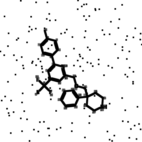 Cc1ccc(-c2cc(C(F)(F)F)cc(COCC3(c4ccccc4)CCNCC3)n2)cc1